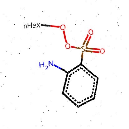 CCCCCCOOS(=O)(=O)c1ccccc1N